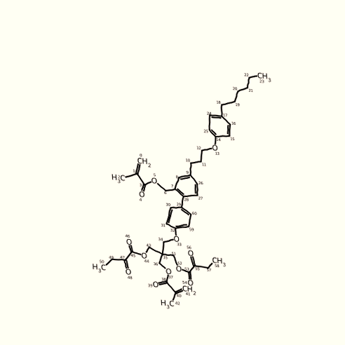 C=C(C)C(=O)OCc1cc(CCCOc2ccc(CCCCCC)cc2)ccc1-c1ccc(OCC(COC(=O)C(=C)C)(COC(=O)C(=O)CC)COC(=O)C(=O)CC)cc1